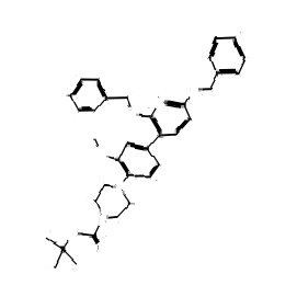 COc1cc(-c2ccc(OCc3ccccc3)nc2OCc2ccccc2)ccc1N1CCN(C(=O)OC(C)(C)C)CC1